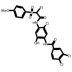 CCC(C(=O)Nc1cc(O)c(NC(=O)c2ccc(Cl)c(Cl)c2)cc1Cl)S(=O)(=O)c1ccc(OC)cc1